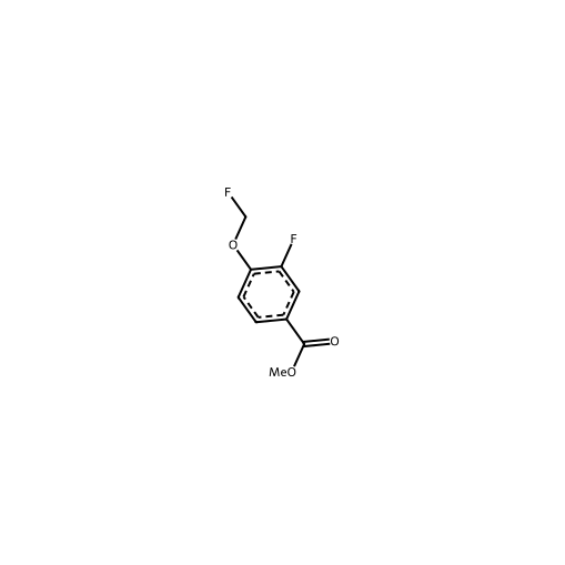 COC(=O)c1ccc(OCF)c(F)c1